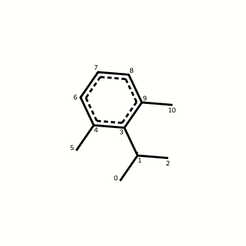 C[C](C)c1c(C)cccc1C